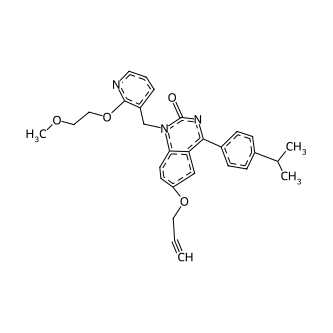 C#CCOc1ccc2c(c1)c(-c1ccc(C(C)C)cc1)nc(=O)n2Cc1cccnc1OCCOC